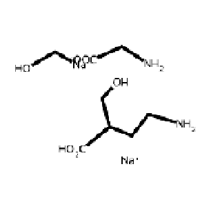 NCC(=O)[O-].NCCC(CO)C(=O)O.O[CH2][Na].[Na+]